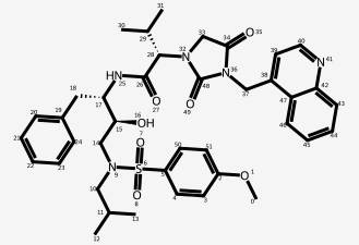 COc1ccc(S(=O)(=O)N(CC(C)C)C[C@H](O)[C@H](Cc2ccccc2)NC(=O)[C@H](C(C)C)N2CC(=O)N(Cc3ccnc4ccccc34)C2=O)cc1